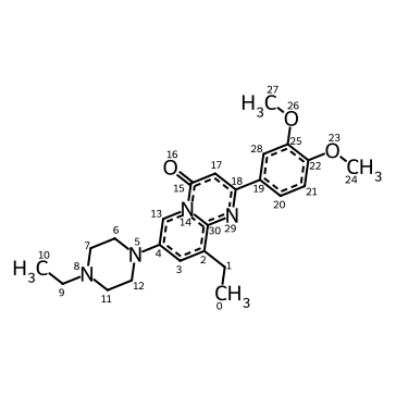 CCc1cc(N2CCN(CC)CC2)cn2c(=O)cc(-c3ccc(OC)c(OC)c3)nc12